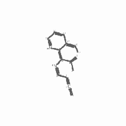 C=C=C\C=N/C(C(=C)C)=c1\nccc\c1=C\C